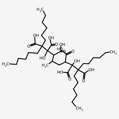 CCCCCCC(CCCCCC)(C(=O)O)C(O)(C(=O)O)C(CC(C)C(C(=O)O)C(O)(C(=O)O)C(CCCCCC)(CCCCCC)C(=O)O)C(=O)O